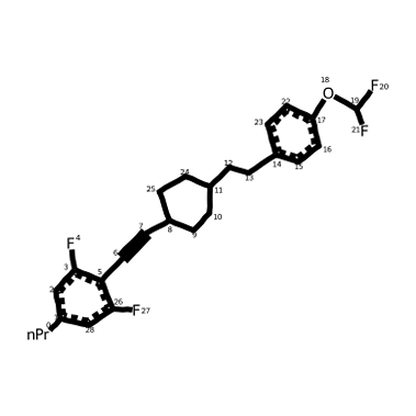 CCCc1cc(F)c(C#CC2CCC(CCc3ccc(OC(F)F)cc3)CC2)c(F)c1